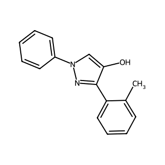 Cc1ccccc1-c1nn(-c2ccccc2)cc1O